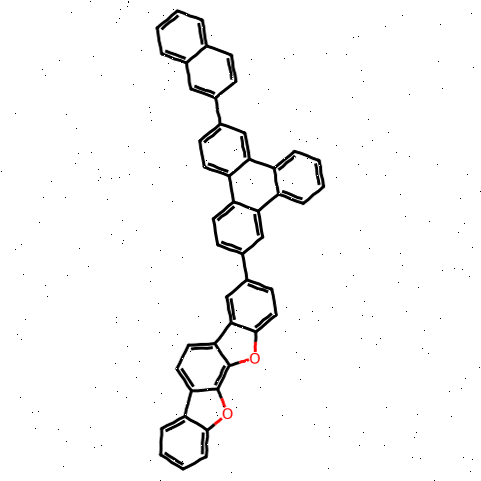 c1ccc2cc(-c3ccc4c5ccc(-c6ccc7oc8c(ccc9c%10ccccc%10oc98)c7c6)cc5c5ccccc5c4c3)ccc2c1